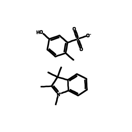 CC1=[N+](C)c2ccccc2C1(C)C.Cc1ccc(O)cc1S(=O)(=O)[O-]